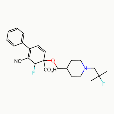 CC(C)(F)CN1CCC(COC2(C(=O)O)C=CC(c3ccccc3)=C(C#N)C2F)CC1